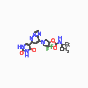 C=C(CC)NC(=O)O[C@H]1CN(c2cc(-c3c[nH]c(=O)[nH]c3=O)nn3ccnc23)CC1(F)F